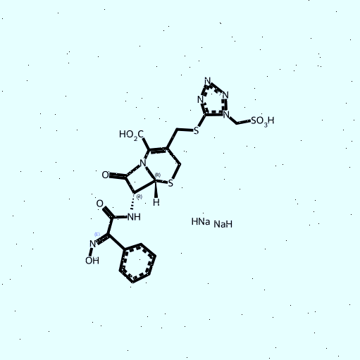 O=C(O)C1=C(CSc2nnnn2CS(=O)(=O)O)CS[C@@H]2[C@H](NC(=O)/C(=N/O)c3ccccc3)C(=O)N12.[NaH].[NaH]